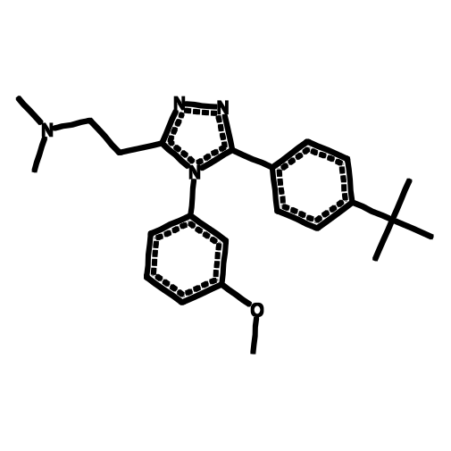 COc1cccc(-n2c(CCN(C)C)nnc2-c2ccc(C(C)(C)C)cc2)c1